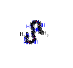 CN=C1C=CC(=Nc2ccc(Nc3ccc(Nc4ccc(N=C5C=CC(=Nc6ccc(Nc7ccc(Nc8ccc(N=C9C=CC(=Nc%10ccc(Nc%11ccc(Nc%12ccc(C)cc%12)cc%11)cc%10)C=C9)cc8)cc7)cc6)C=C5)cc4)cc3)cc2)C=C1